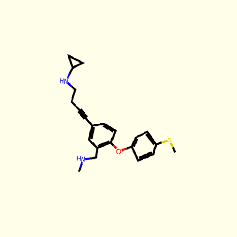 CNCc1cc(C#CCCNC2CC2)ccc1Oc1ccc(SC)cc1